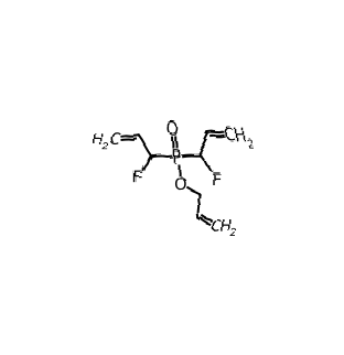 C=CCOP(=O)(C(F)C=C)C(F)C=C